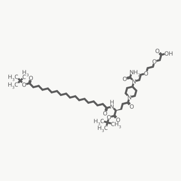 CC(C)(C)OC(=O)CCCCCCCCCCCCCCCCC(=O)N[C@@H](CCC(=O)N1CCC(N(CCOCCOCC(=O)O)C(N)=O)CC1)C(=O)OC(C)(C)C